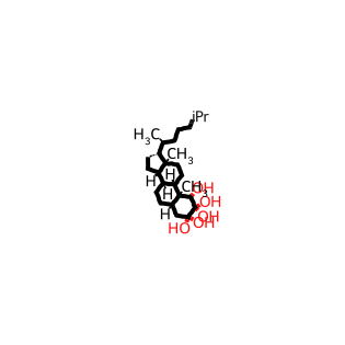 CC(C)CCC[C@@H](C)[C@H]1CC[C@H]2[C@@H]3CC[C@@H]4CC(O)(O)C(O)(O)C(O)[C@]4(C)[C@H]3CC[C@]12C